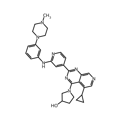 CN1CCN(c2cccc(Nc3cc(-c4nc(N5CCC(O)C5)c5c(C6CC6)cncc5n4)ccn3)c2)CC1